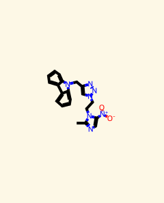 Cc1ncc([N+](=O)[O-])n1CCn1cc(Cn2c3ccccc3c3ccccc32)nn1